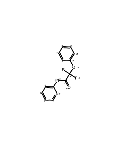 O=C(Nc1ccccn1)C(F)(F)Oc1ccccc1